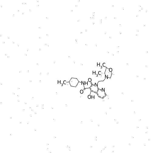 CC1CCC(NC(=O)c2c(O)c3cccnc3n(CCN3CCO[C@H](C)[C@H]3C)c2=O)CC1